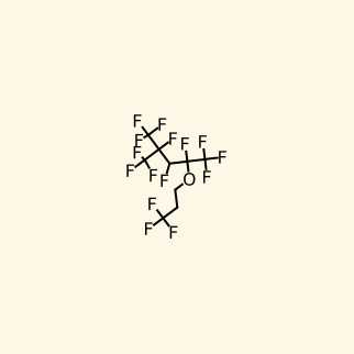 FC(C(F)(OCCC(F)(F)F)C(F)(F)F)C(F)(C(F)(F)F)C(F)(F)F